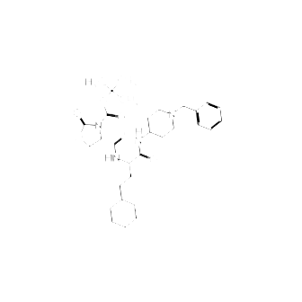 CC(C)(C)OC(=O)N1C(=O)OC[C@H]1C(=S)N[C@H](CCC1CCCCC1)C(=O)NC1CCN(Cc2ccccc2)CC1